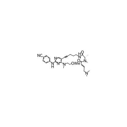 COCCN(C)c1nc(Nc2ccc(C#N)cc2)ncc1C#CCCCNC(=O)[C@H](C)N(C)C(=O)/C=C/CN(C)C